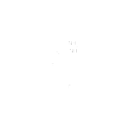 NNC(=S)c1ccc(F)cc1F